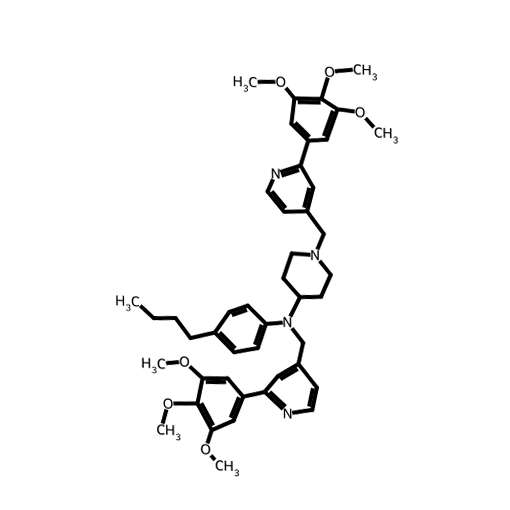 CCCCc1ccc(N(Cc2ccnc(-c3cc(OC)c(OC)c(OC)c3)c2)C2CCN(Cc3ccnc(-c4cc(OC)c(OC)c(OC)c4)c3)CC2)cc1